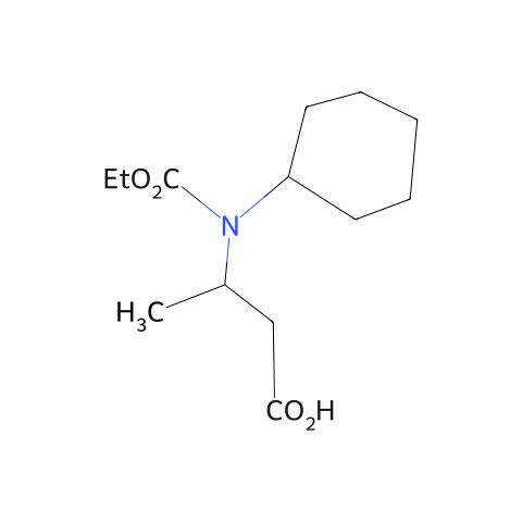 CCOC(=O)N(C(C)CC(=O)O)C1CCCCC1